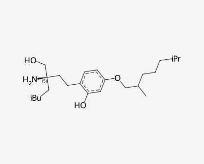 CCC(C)C[C@](N)(CO)CCc1ccc(OCC(C)CCCC(C)C)cc1O